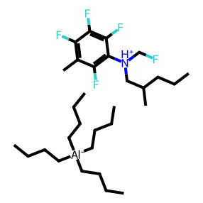 CCCC(C)C[NH+](CF)c1c(F)c(C)c(F)c(F)c1F.CCC[CH2][Al-]([CH2]CCC)([CH2]CCC)[CH2]CCC